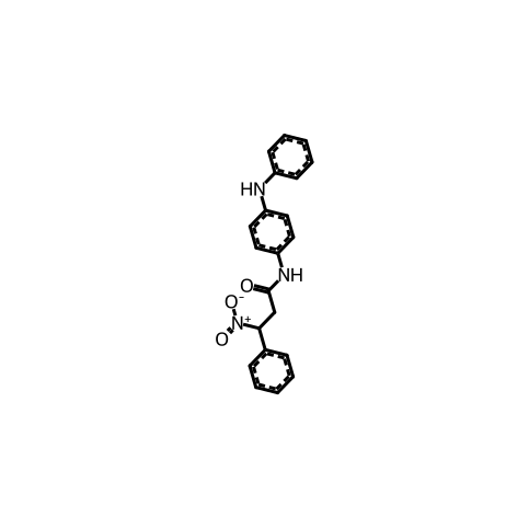 O=C(CC(c1ccccc1)[N+](=O)[O-])Nc1ccc(Nc2ccccc2)cc1